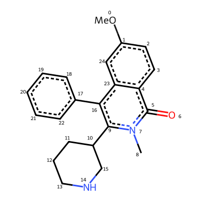 COc1ccc2c(=O)n(C)c(C3CCCNC3)c(-c3ccccc3)c2c1